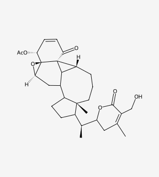 CC(=O)O[C@@H]1C=CC(=O)[C@]23C4C(C[C@H]5O[C@]152)C1CCC([C@H](C)C2CC(C)=C(CO)C(=O)O2)[C@@]1(C)CCC[C@H]43